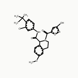 COc1ccc2c(c1)CCN(C(=O)c1cc(O)no1)C2C(=O)Nc1ccc(C(C)(C)C)c(Cl)c1